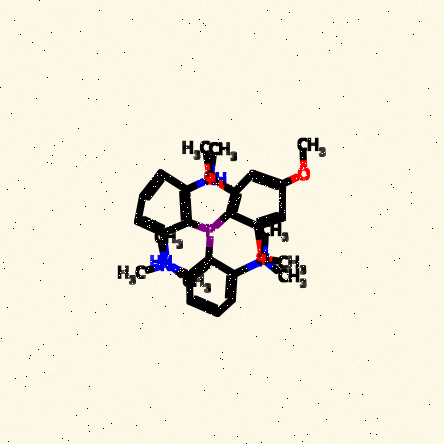 CNc1cccc(NC)c1P(c1c(OC)cc(OC)cc1OC)c1c(N(C)C)cccc1N(C)C